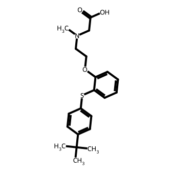 CN(CCOc1ccccc1Sc1ccc(C(C)(C)C)cc1)CC(=O)O